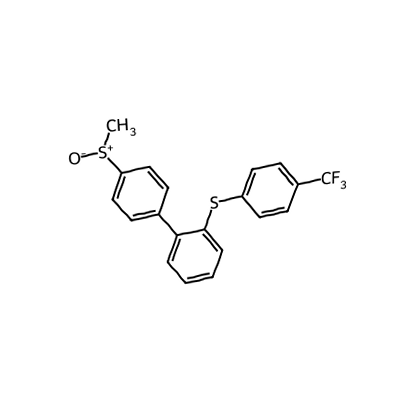 C[S+]([O-])c1ccc(-c2ccccc2Sc2ccc(C(F)(F)F)cc2)cc1